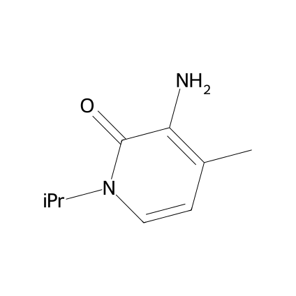 Cc1ccn(C(C)C)c(=O)c1N